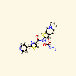 CN1CCc2c(sc(NC(=O)c3csc(-c4ccncc4)n3)c2OC(N)=O)C1